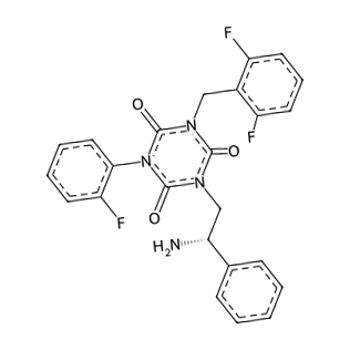 N[C@H](Cn1c(=O)n(Cc2c(F)cccc2F)c(=O)n(-c2ccccc2F)c1=O)c1ccccc1